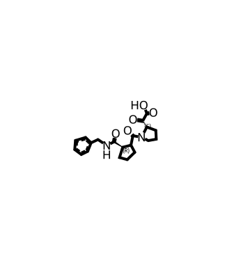 O=C(O)C(=O)[C@@H]1CCCN1C(=O)C1CCC[C@H]1C(=O)NCc1ccccc1